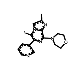 Cc1cn2c(I)c(-c3cccnc3)nc(N3CCOCC3)c2n1